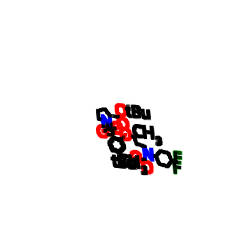 Cc1ccc(S(=O)(=O)N2CCC[C@H]2C(=O)OC(C)(C)C)c(O[C@@H](C)CCN(C(=O)OC(C)(C)C)C2CCC(F)(F)CC2)c1